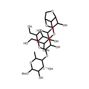 COC1CC(CO)OC(OC2C3COC2C(O)C(OC2C(O)C(CO)OC(OC4C(C)OC(OC)C(O)[C@H]4O)C2O)O3)C1O